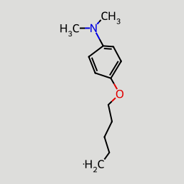 [CH2]CCCCOc1ccc(N(C)C)cc1